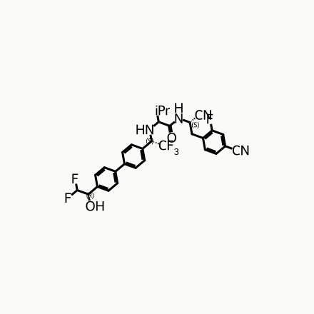 CC(C)C(N[C@@H](c1ccc(-c2ccc([C@@H](O)C(F)F)cc2)cc1)C(F)(F)F)C(=O)N[C@H](C#N)Cc1ccc(C#N)cc1F